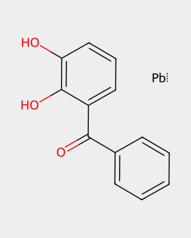 O=C(c1ccccc1)c1cccc(O)c1O.[Pb]